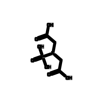 O=C(O)CN(CC(=O)O)P(=O)(O)O